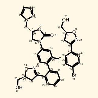 O=C1O[C@@H](Cn2ccnn2)CN1c1ccc(-c2cccnc2C2=NO[C@H](CO)C2)c(F)c1.OC[C@@H]1CC(c2ccc(Br)cn2)=NO1